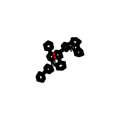 c1ccc(-c2ccc(N(c3ccc(-c4ccccc4)cc3)c3ccccc3-c3cccc(-c4ccc5c6cccc7c8ccccc8n(c5c4)c76)c3)cc2)cc1